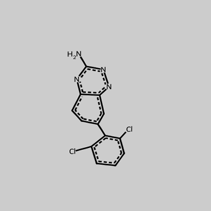 Nc1nnc2cc(-c3c(Cl)cccc3Cl)ccc2n1